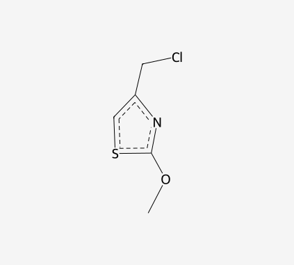 COc1nc(CCl)cs1